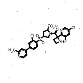 Cc1cc(-c2ccc(S(=O)(=O)C3CC(C(=O)O)N(C(=O)C4(c5ncc(Cl)cc5F)CCN4)C3)c(Cl)c2)ccn1